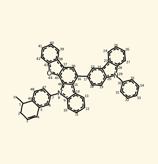 CC1CC=Cc2cc(-n3c4ccccc4c4c(-c5ccc6c(c5)c5ccccc5n6-c5ccccc5)cc5c6ccccc6oc5c43)ccc21